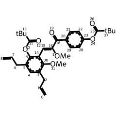 C=CCc1cc(CC=C)c(OC(=O)C(C)(C)C)c(C=C(OC)C(=O)c2ccc(OC(=O)C(C)(C)C)cc2)c1OC